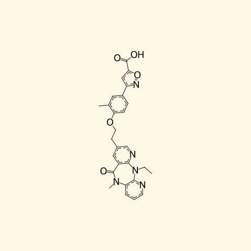 CCN1c2ncc(CCOc3ccc(-c4cc(C(=O)O)on4)cc3C)cc2C(=O)N(C)c2cccnc21